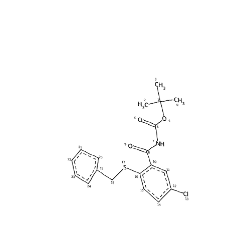 CC(C)(C)OC(=O)NC(=O)c1cc(Cl)ccc1SCc1ccccc1